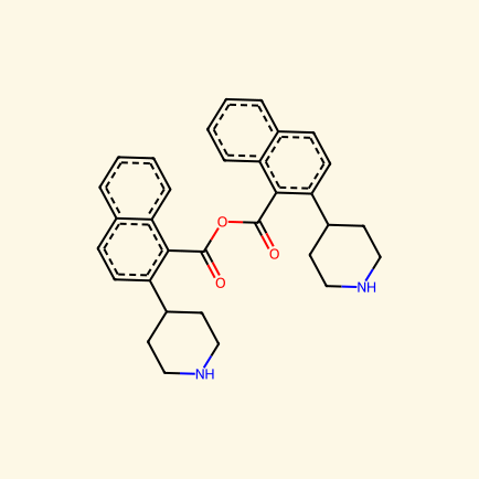 O=C(OC(=O)c1c(C2CCNCC2)ccc2ccccc12)c1c(C2CCNCC2)ccc2ccccc12